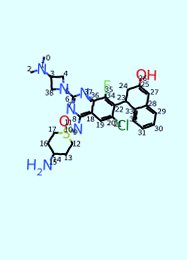 CN(C)C1CN(c2nc(N=S3(=O)CCC(N)CC3)c3cc(Cl)c(C4CC(O)=Cc5ccccc54)c(F)c3n2)C1